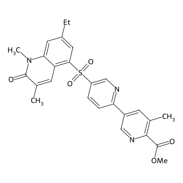 CCc1cc(S(=O)(=O)c2ccc(-c3cnc(C(=O)OC)c(C)c3)nc2)c2cc(C)c(=O)n(C)c2c1